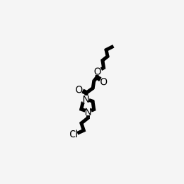 CCCCCOC(=O)CCC(=O)N1CCN(CCCCl)CC1